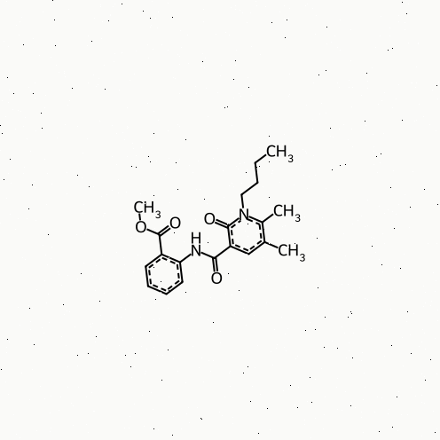 CCCCn1c(C)c(C)cc(C(=O)Nc2ccccc2C(=O)OC)c1=O